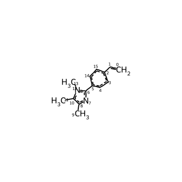 C=Cc1ccc(-c2nc(C)c(C)n2C)cc1